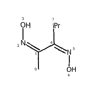 CC(=N/O)/C(=N\O)C(C)C